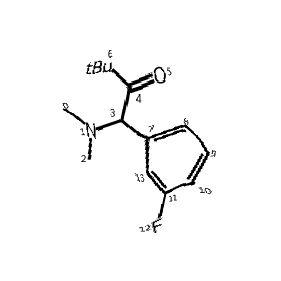 CN(C)C(C(=O)C(C)(C)C)c1cccc(F)c1